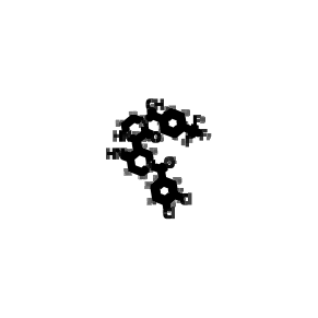 C=C(c1ccc(C(F)(F)F)cc1)N1CCN/C(=C2/CN(C(=O)c3ccc(Cl)c(Cl)c3)CCC2=N)C1=O